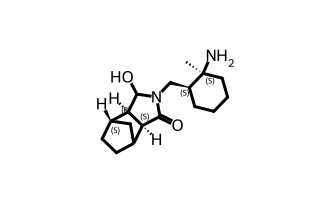 C[C@]1(N)CCCC[C@H]1CN1C(=O)[C@H]2C3CC[C@@H](C3)[C@H]2C1O